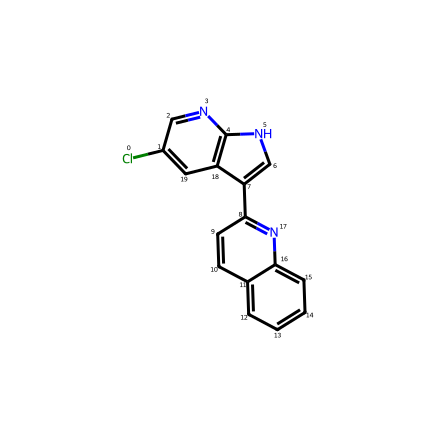 Clc1cnc2[nH]cc(-c3ccc4ccccc4n3)c2c1